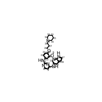 COc1cc(Nc2nccc(Nc3cnc4[nH]ccc4c3)n2)ccc1OCCCN1CCCCC1